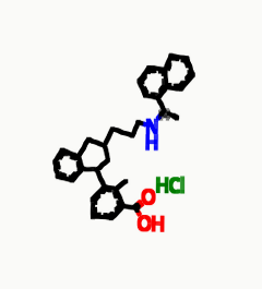 Cc1c(C(=O)O)cccc1C1CC(CCCN[C@H](C)c2cccc3ccccc23)Cc2ccccc21.Cl